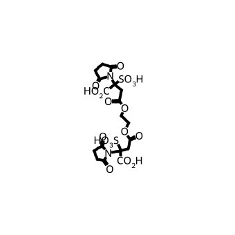 O=C(CC(C(=O)O)(N1C(=O)CCC1=O)S(=O)(=O)O)OCCOC(=O)CC(C(=O)O)(N1C(=O)CCC1=O)S(=O)(=O)O